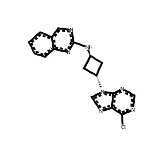 Clc1ncnc2c1ncn2[C@H]1C[C@H](Nc2ncc3ccccc3n2)C1